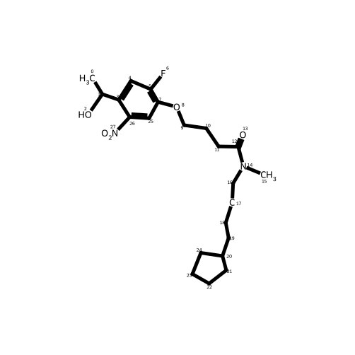 CC(O)c1cc(F)c(OCCCC(=O)N(C)CCCCC2CCCC2)cc1[N+](=O)[O-]